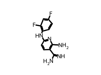 N=C(N)c1ccc(Nc2ccc(F)cc2F)nc1N